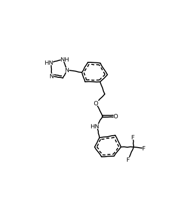 O=C(Nc1cccc(C(F)(F)F)c1)OCc1cccc(N2C=NNN2)c1